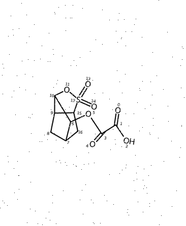 O=C(O)C(=O)OC1C2CC3C1OS(=O)(=O)C3C2